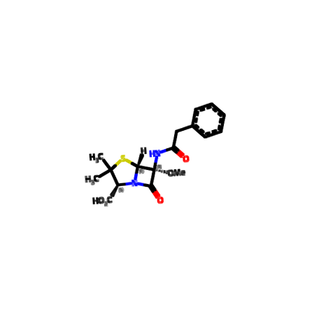 CO[C@]1(NC(=O)Cc2ccccc2)C(=O)N2[C@@H](C(=O)O)C(C)(C)S[C@@H]21